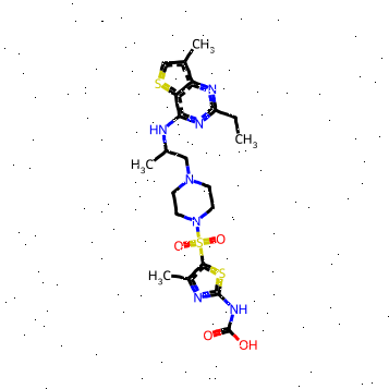 CCc1nc(NC(C)CN2CCN(S(=O)(=O)c3sc(NC(=O)O)nc3C)CC2)c2scc(C)c2n1